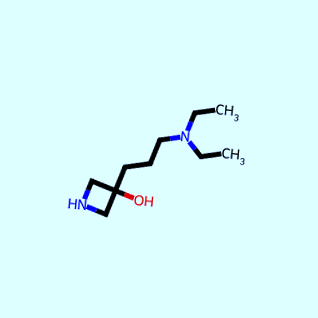 CCN(CC)CCCC1(O)CNC1